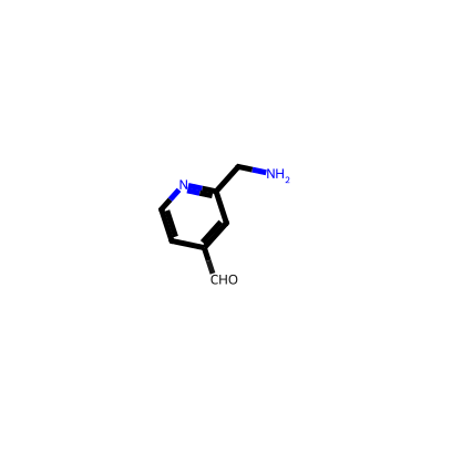 NCc1cc(C=O)ccn1